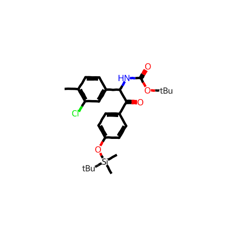 Cc1ccc(C(NC(=O)OC(C)(C)C)C(=O)c2ccc(O[Si](C)(C)C(C)(C)C)cc2)cc1Cl